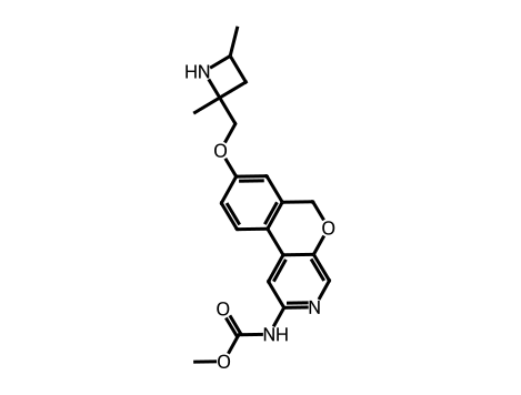 COC(=O)Nc1cc2c(cn1)OCc1cc(OCC3(C)CC(C)N3)ccc1-2